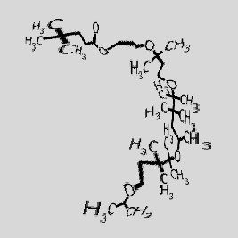 CC(C)OCCC(C)(C)C(C)(C)OC(C)CC(C)(C)C(C)(C)OCCC(C)(C)OCCOC(=O)CCC(C)(C)C